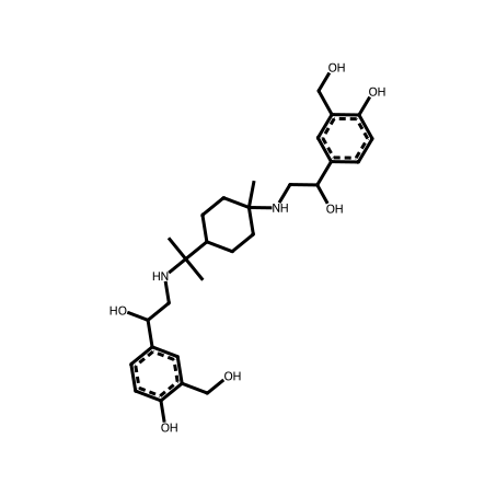 CC1(NCC(O)c2ccc(O)c(CO)c2)CCC(C(C)(C)NCC(O)c2ccc(O)c(CO)c2)CC1